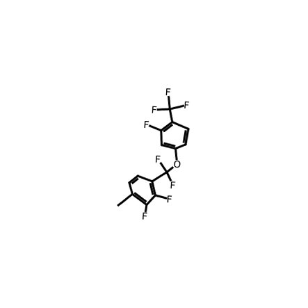 Cc1ccc(C(F)(F)Oc2ccc(C(F)(F)F)c(F)c2)c(F)c1F